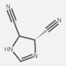 N#CC1NC=N[C@H]1C#N